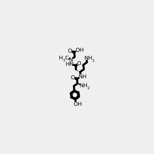 CN(CC(=O)O)NC(=O)C[C@H](CCCN)NC(=O)[C@@H](N)Cc1ccc(O)cc1